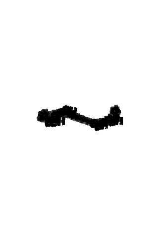 O=C(c1ccccc1)c1ccc(OCC(O)COCCCCCCCCOCC(O)COc2ccc(C(=O)c3ccccc3)c(O)c2)cc1O